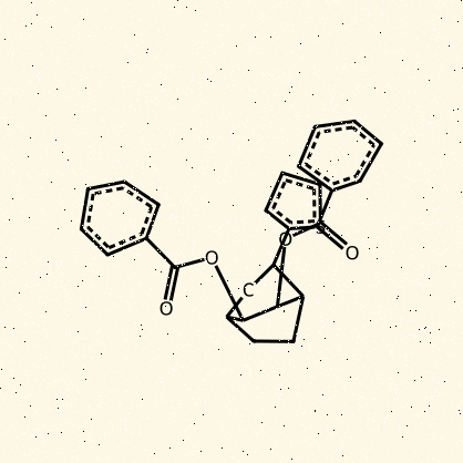 O=C(OC1C2CCC(C(c3cccs3)C2)C1OC(=O)c1ccccc1)c1ccccc1